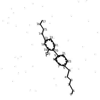 CCCCCCc1ccc(-c2ccc(CCCC)cc2F)cc1